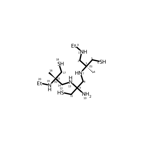 CCNC[C@@](C)(CS)NCC(N)(CS)NC[C@@](C)(CS)NCC